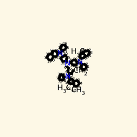 C=C/C=C(\CCCN(C1=CC=C(N(C2=CC=C3C=CCCC3C2)c2ccccc2)CC1)c1ccc(N(C2=CCC3(C)C=CC=CC3=C2)c2ccccc2)cc1)N(C1=CC(C)C2C(=C1)C=CCC2C)c1ccccc1